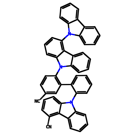 N#Cc1ccc(-n2c3ccccc3c3c(-n4c5ccccc5c5ccccc54)cccc32)c(-c2ccccc2-n2c3ccccc3c3c(C#N)cccc32)c1